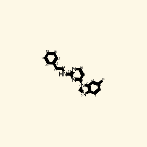 Ic1ccc2ncn(-c3ccnc(NCCc4ccccc4)n3)c2c1